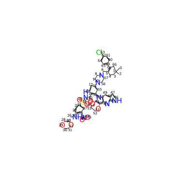 CC1(C)CCC(CN2CCN(c3ccc(C(=O)NS(=O)(=O)c4ccc(NC[C@H]5COCCO5)c([N+](=O)[O-])c4)c(-n4c5c(c6nc7[nH]ccc7cc64)OCCO5)c3)CC2)=C(c2ccc(Cl)cc2)C1